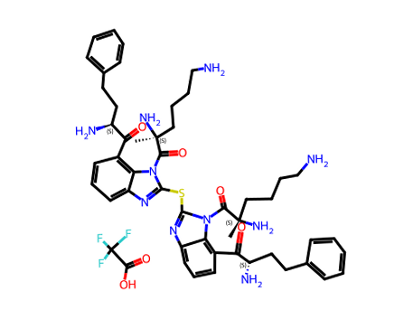 C[C@](N)(CCCCN)C(=O)n1c(Sc2nc3cccc(C(=O)[C@@H](N)CCc4ccccc4)c3n2C(=O)[C@@](C)(N)CCCCN)nc2cccc(C(=O)[C@@H](N)CCc3ccccc3)c21.O=C(O)C(F)(F)F